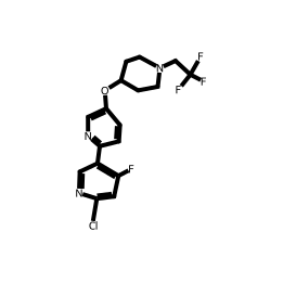 Fc1cc(Cl)ncc1-c1ccc(OC2CCN(CC(F)(F)F)CC2)cn1